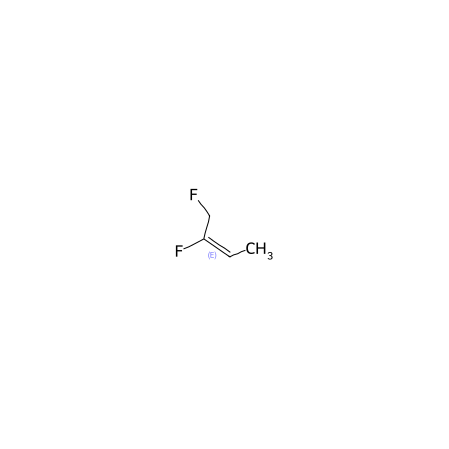 C/C=C(/F)CF